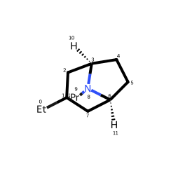 CCC1C[C@H]2CC[C@@H](C1)N2C(C)C